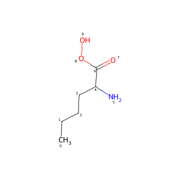 CCCCC(N)C(=O)OO